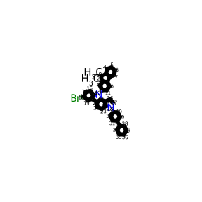 CC1(C)c2ccccc2-c2ccc(-n3c4ccc(Br)cc4c4ccc5c(ccn5-c5ccc(-c6ccccc6)cc5)c43)cc21